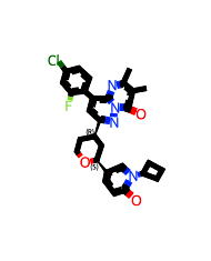 Cc1nc2c(-c3ccc(Cl)cc3F)cc([C@@H]3CCO[C@H](c4ccc(=O)n(C5CCC5)c4)C3)nn2c(=O)c1C